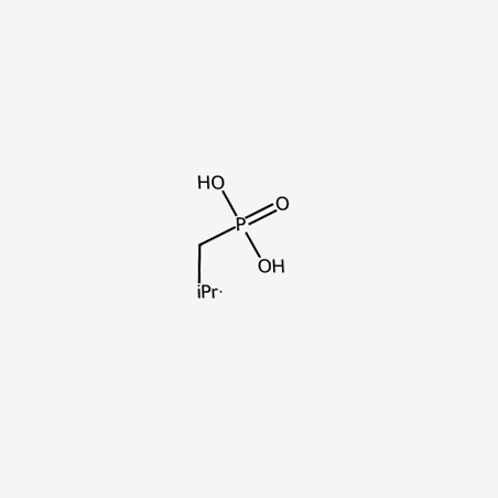 C[C](C)CP(=O)(O)O